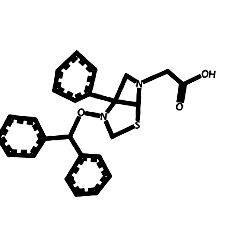 O=C(O)CN1CC2(c3ccccc3)C1SCN2OC(c1ccccc1)c1ccccc1